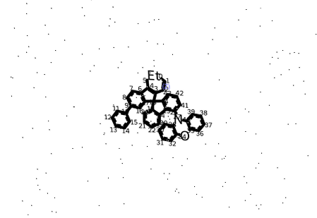 CC/C=C\C1=C(C)c2ccc(-c3ccccc3)cc2C12c1ccccc1-c1c(N3c4ccccc4Oc4ccccc43)cccc12